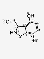 O=CC1NCc2c(Br)ccc(O)c21